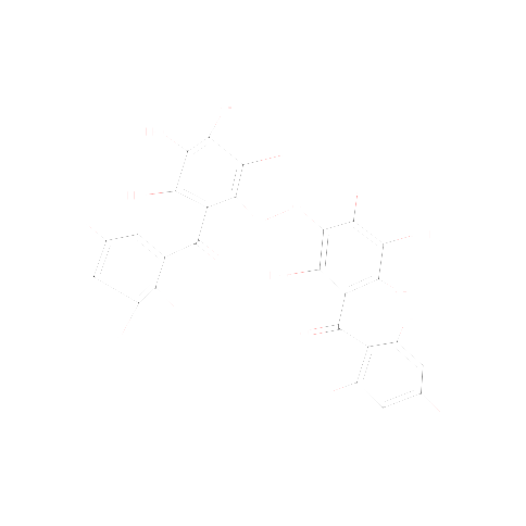 O=C(c1c(O)cc(O)cc1O)c1c(O)c(O)c(O)c(OOc2c(O)c(O)c(O)c(O)c2C(=O)c2cc(O)cc(O)c2O)c1O